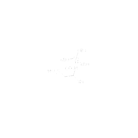 CC(C)C(CC(=O)O)C(=O)O.CCC[CH2][SnH]([CH2]CCC)[CH2]CCC